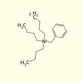 CCCC[N+](CCCC)(CCCC)Cc1ccccc1.[I-]